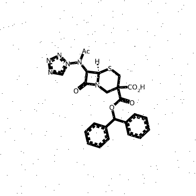 CC(=O)N(C1C(=O)N2CC(C(=O)O)(C(=O)OC(c3ccccc3)c3ccccc3)CS[C@H]12)n1cnnn1